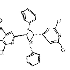 CCCSc1cc([C@H]2[C@@H](c3ccccc3)[C@H](c3cc(Cl)nc(Cl)n3)[C@@H]2c2ccccc2)nc(Cl)n1